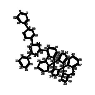 c1ccc(-c2ccc(-c3nc(-c4ccccc4)nc(-c4cccc5c4-c4ccccc4C54c5ccccc5C5(c6ccccc6Sc6ccccc65)c5ccccc54)n3)cc2)cc1